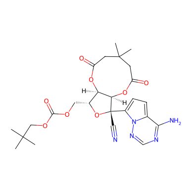 CC(C)(C)COC(=O)OC[C@H]1O[C@@](C#N)(c2ccc3c(N)ncnn23)[C@@H]2OC(=O)CC(C)(C)CC(=O)O[C@@H]21